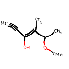 C#C/C(O)=C(/C(C)OOC)C(F)(F)F